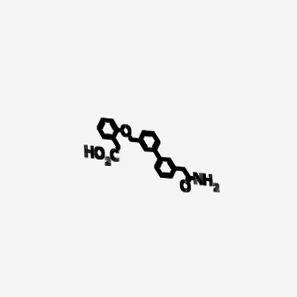 NC(=O)Cc1cccc(-c2cccc(COc3ccccc3CC(=O)O)c2)c1